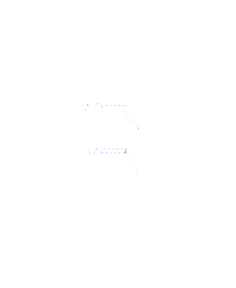 CN/C(C)=C\C(=N)CC(C)C